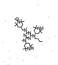 CCCCN(c1nc(N(C)CC2CC(C)(C)N(OC)C(C)(C)C2)nc(N(C)C2CC(C)(C)NC(C)(C)C2)n1)C1CC(C)(C)NC(C)(C)C1